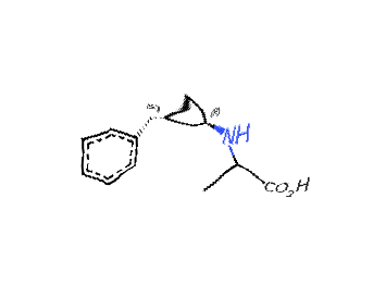 CC(N[C@@H]1C[C@H]1c1ccccc1)C(=O)O